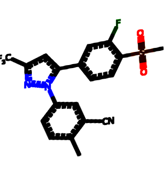 Cc1ccc(-n2nc(C(F)(F)F)cc2-c2ccc(S(C)(=O)=O)c(F)c2)cc1C#N